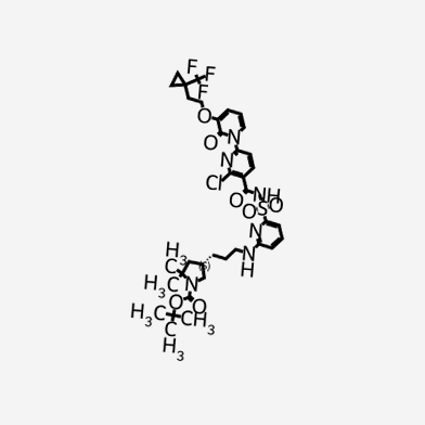 CC(C)(C)OC(=O)N1C[C@@H](CCCNc2cccc(S(=O)(=O)NC(=O)c3ccc(-n4cccc(OCCC5(C(F)(F)F)CC5)c4=O)nc3Cl)n2)CC1(C)C